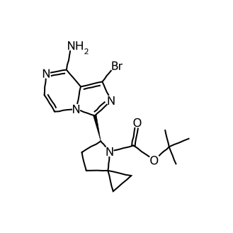 CC(C)(C)OC(=O)N1[C@H](c2nc(Br)c3c(N)nccn23)CCC12CC2